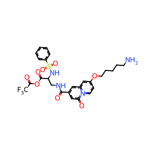 NCCCCCOc1ccn2c(=O)cc(C(=O)NCC(NS(=O)(=O)c3ccccc3)C(=O)OC(=O)C(F)(F)F)cc2c1